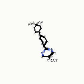 CCCCCCCCCCC1(C#N)CCC(c2ccc(-c3ncc(CCCCCCCC)cn3)cc2)CC1